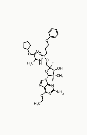 CCOc1nc(N)nc2c1ncn2[C@@H]1O[C@](F)(COP(=O)(CCCOc2ccccc2)N[C@@H](C)C(=O)OC2CCCC2)[C@@H](O)[C@@]1(C)F